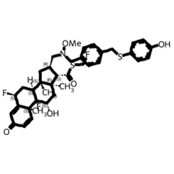 CON(Cc1ccc(CSc2ccc(O)cc2)cc1)C[C@@H]1C[C@@]2(C)[C@@H]3C[C@H](F)C4=CC(=O)C=C[C@]4(C)[C@@]3(F)[C@@H](O)C[C@]2(C)[C@H]1C(=O)SCF